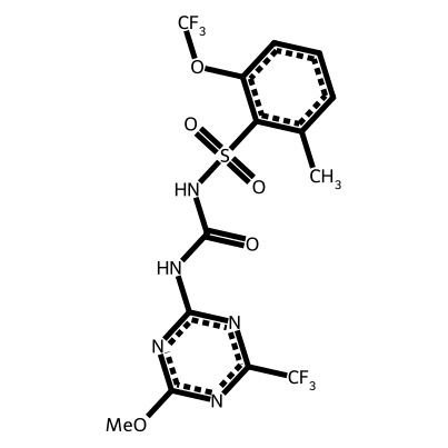 COc1nc(NC(=O)NS(=O)(=O)c2c(C)cccc2OC(F)(F)F)nc(C(F)(F)F)n1